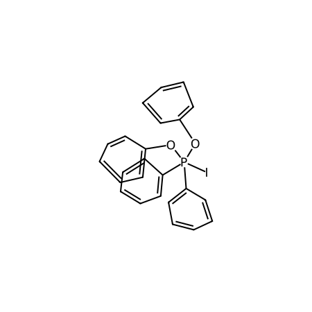 IP(Oc1ccccc1)(Oc1ccccc1)(c1ccccc1)c1ccccc1